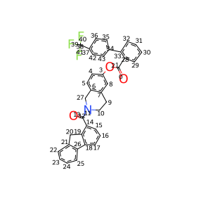 O=C(Oc1ccc2c(c1)CCN(C(=O)c1cccc3c1Cc1ccccc1-3)C2)c1ccccc1-c1ccc(C(F)(F)F)cc1